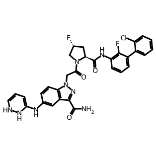 NC(=O)c1nn(CC(=O)N2C[C@H](F)C[C@H]2C(=O)Nc2cccc(-c3ccccc3Cl)c2F)c2ccc(NC3=CC=CNN3)cc12